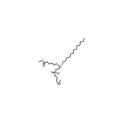 CCCCCCCCCCCCOC[C@H](COP(=O)([O-])OCC[N+](C)(C)C)OCCCCC(=O)OC